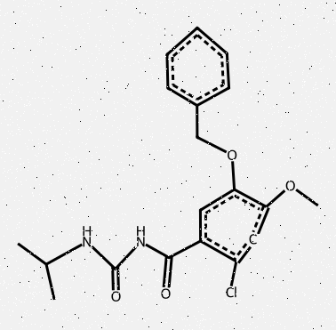 COc1cc(Cl)c(C(=O)NC(=O)NC(C)C)cc1OCc1ccccc1